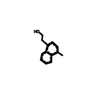 Cc1ccc(CCO)c2ccccc12